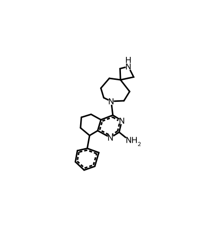 Nc1nc2c(c(N3CCCC4(CC3)CNC4)n1)CCCC2c1ccccc1